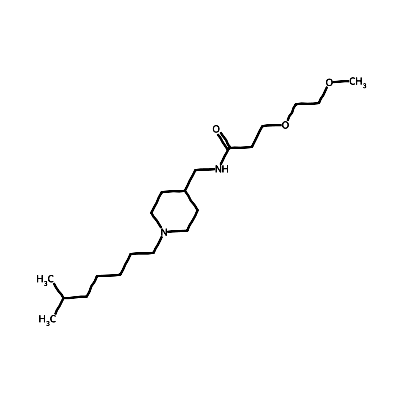 COCCOCCC(=O)NCC1CCN(CCCCCC(C)C)CC1